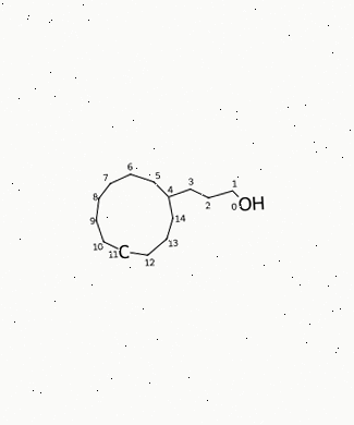 OCCCC1CCCCCCCCCC1